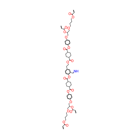 C=CC(=O)OCCCCOCC(COc1ccc(OC(=O)C2CCC(C(=O)OCCc3ccc(OC(=O)C4CCC(C(=O)Oc5ccc(OCC(COCCCCOC(=O)C=C)OC(=O)C=C)cc5)CC4)c(C=N)c3)CC2)cc1)OC(=O)C=C